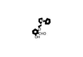 O=Cc1c(O)cccc1OCC[C@@H]1CCCN1c1ccccc1